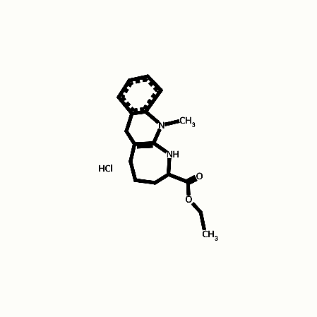 CCOC(=O)C1CCCC2=C(N1)N(C)c1ccccc1C2.Cl